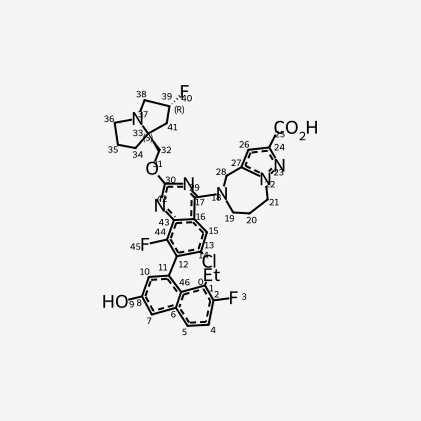 CCc1c(F)ccc2cc(O)cc(-c3c(Cl)cc4c(N5CCCn6nc(C(=O)O)cc6C5)nc(OC[C@@]56CCCN5C[C@H](F)C6)nc4c3F)c12